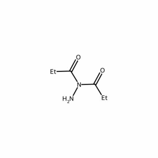 [CH2]CC(=O)N(N)C(=O)CC